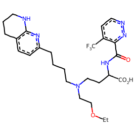 CCOCCN(CCCCc1ccc2c(n1)NCCC2)CCC(NC(=O)c1nnccc1C(F)(F)F)C(=O)O